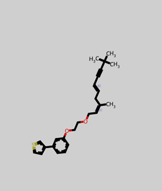 C/C(=C/COCCOc1cccc(-c2ccsc2)c1)C/C=C/C#CC(C)(C)C